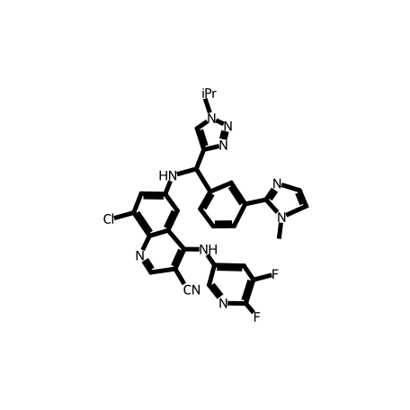 CC(C)n1cc(C(Nc2cc(Cl)c3ncc(C#N)c(Nc4cnc(F)c(F)c4)c3c2)c2cccc(-c3nccn3C)c2)nn1